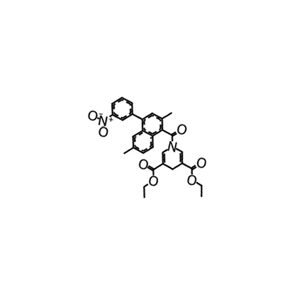 CCOC(=O)C1=CN(C(=O)c2c(C)cc(-c3cccc([N+](=O)[O-])c3)c3cc(C)ccc23)C=C(C(=O)OCC)C1